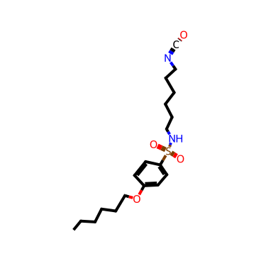 CCCCCCOc1ccc(S(=O)(=O)NCCCCCCN=C=O)cc1